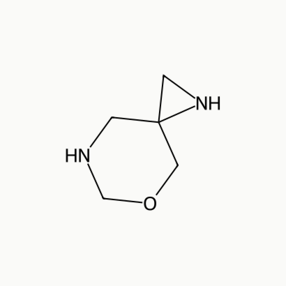 C1NCC2(CN2)CO1